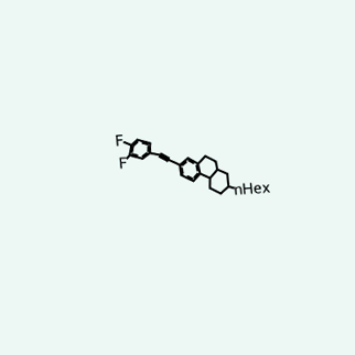 CCCCCCC1CCC2c3ccc(C#Cc4ccc(F)c(F)c4)cc3CCC2C1